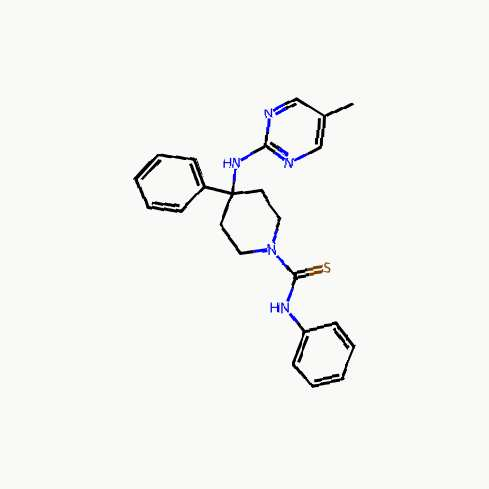 Cc1cnc(NC2(c3ccccc3)CCN(C(=S)Nc3ccccc3)CC2)nc1